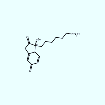 CCCC[C@]1(CCCCCCC(=O)OCC)C(=O)CC2=CC(=O)C=CC21